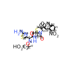 CC(C)(ON=C(C(=O)NC1C(=O)N2CC(C=Cc3c([N+](=O)[O-])cccc3[N+](=O)[O-])(C(=O)O)CS[C@H]12)c1csc(N)n1)C(=O)O